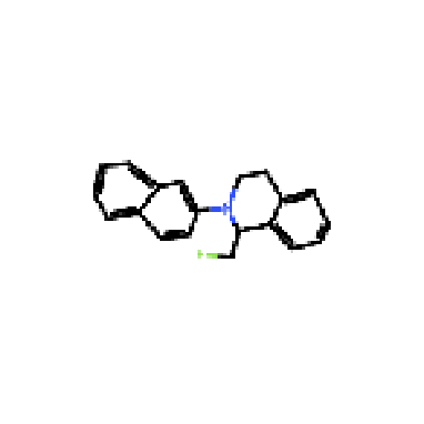 FCC1c2ccccc2CCN1c1ccc2ccccc2c1